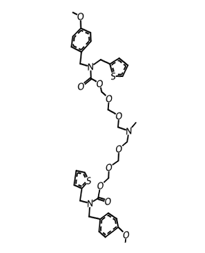 COc1ccc(CN(Cc2cccs2)C(=O)OCOCOCN(C)COCOCOC(=O)N(Cc2ccc(OC)cc2)Cc2cccs2)cc1